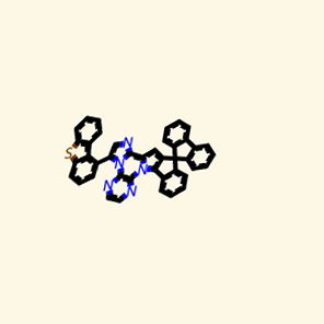 c1ccc2c(c1)-c1ccccc1C21c2ccccc2-c2c1cc1c3ncc(-c4cccc5sc6ccccc6c45)n3c3nccnc3n21